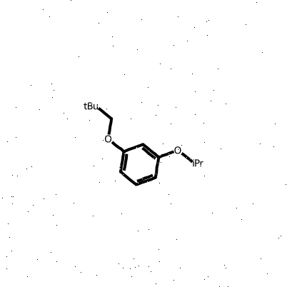 CC(C)Oc1cccc(OCC(C)(C)C)c1